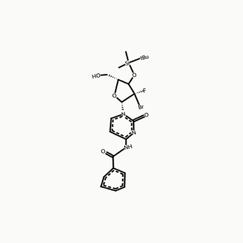 CC(C)(C)[Si](C)(C)OC1[C@@H](CO)O[C@@H](n2ccc(NC(=O)c3ccccc3)nc2=O)[C@]1(F)Br